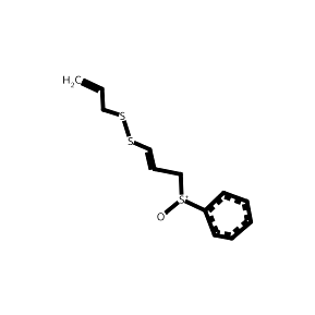 C=CCSSC=CC[S+]([O-])c1ccccc1